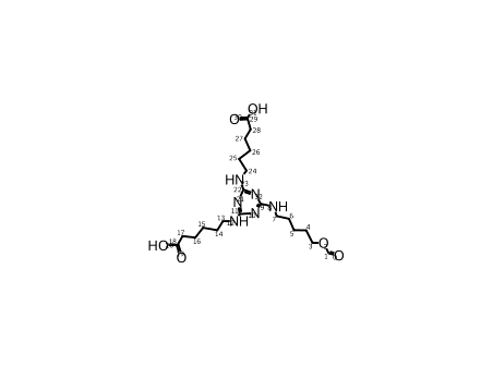 O=COCCCCCNc1nc(NCCCCCC(=O)O)nc(NCCCCCC(=O)O)n1